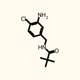 CC(C)(C)C(=O)NCc1ccc(Cl)c(N)c1